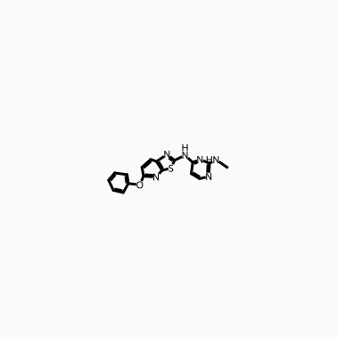 CNc1nccc(Nc2nc3ccc(Oc4ccccc4)nc3s2)n1